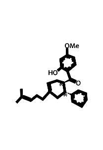 COc1ccc(C(=O)[C@@H]2CC=C(CCC=C(C)C)C[C@H]2c2ccccc2)c(O)c1